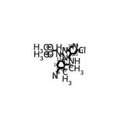 COC(CNc1nc(NC(C)c2cccc(C#N)c2C)c2cc(Cl)ncc2n1)OC